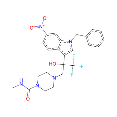 CNC(=O)N1CCN(CC(O)(c2cn(Cc3ccccc3)c3cc([N+](=O)[O-])ccc23)C(F)(F)F)CC1